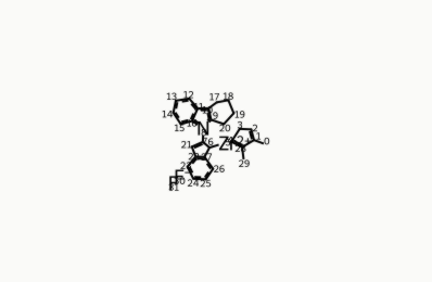 CC1=CC[C]([Zr+2][CH]2C(n3c4c(c5ccccc53)CCCC4)=Cc3ccccc32)=C1C.[F-].[F-]